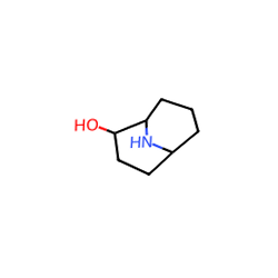 OC1CCC2CCCC1N2